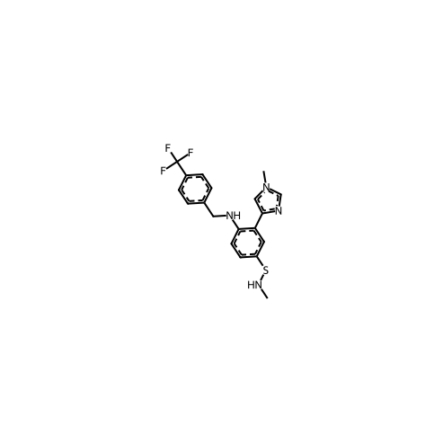 CNSc1ccc(NCc2ccc(C(F)(F)F)cc2)c(-c2cn(C)cn2)c1